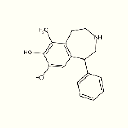 Oc1cc2c(c(C(F)(F)F)c1O)CCNCC2c1ccccc1